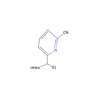 CCCCCCC(CC)c1cccc(C#N)n1